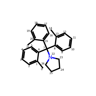 Cc1ccccc1C(c1ccccc1C)(c1ccccc1C)N1CCCC1